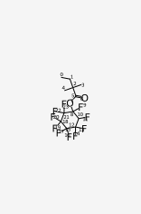 CCC(C)(C)C(=O)OC1(F)C(F)C(F)(F)C(F)(F)C(F)(F)C1(F)F